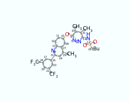 CCCCS(=O)(=O)Nc1nnc(Oc2ccc3nc(-c4cc(C(F)(F)F)cc(C(F)(F)F)c4)cc(C)c3c2)c(C)c1C